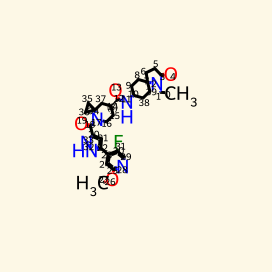 CCN1C(=O)CCC12CCC(NC(=O)[C@H]1CCN(C(=O)c3cc(-c4cc(OC)ncc4F)[nH]n3)C3(CC3)C1)CC2